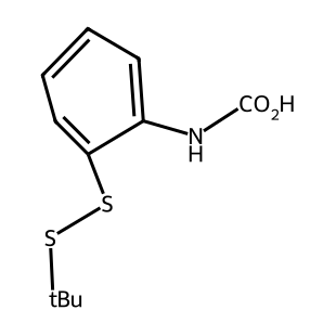 CC(C)(C)SSc1ccccc1NC(=O)O